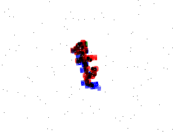 COc1cc2cc(c1Cl)N(C)C(=O)C[C@H](OC(=O)[C@H](C)N(C)C(=O)CCSCC(=O)N[C@@H](CCCNC(N)=O)C(=O)N[C@@H](CCCCn1cc(COC(=O)NCCCC[C@H](NC(=O)CCC(C)(C)OCCC(C)(C)CC(=O)CN3C(=O)C=CC3=O)C(=O)NCCOCCC(=O)N[C@H](C)CCCNC(=N)N)nn1)C(=O)N[C@@H](Cc1ccc(O)cc1)C(=O)O)[C@]1(C)O[C@H]1[C@H](C)[C@@H]1C[C@@](O)(NC(=O)O1)[C@H](OC)/C=C/C=C(\C)C2